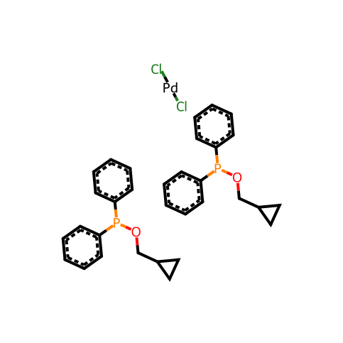 [Cl][Pd][Cl].c1ccc(P(OCC2CC2)c2ccccc2)cc1.c1ccc(P(OCC2CC2)c2ccccc2)cc1